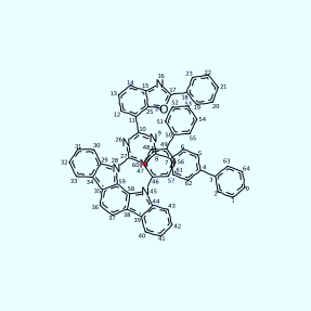 c1ccc(-c2ccc(-c3nc(-c4cccc5nc(-c6ccccc6)oc45)nc(-n4c5ccccc5c5ccc6c7ccccc7n(-c7ccc(-c8ccccc8)cc7)c6c54)n3)cc2)cc1